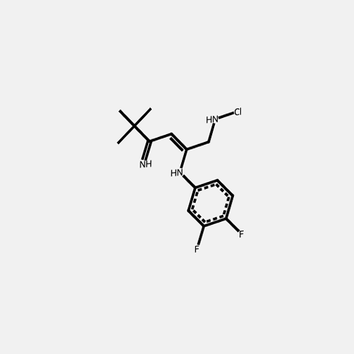 CC(C)(C)C(=N)/C=C(/CNCl)Nc1ccc(F)c(F)c1